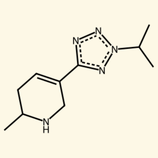 CC1CC=C(c2nnn(C(C)C)n2)CN1